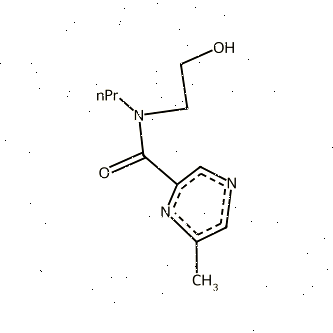 CCCN(CCO)C(=O)c1cncc(C)n1